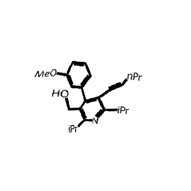 CCCC=Cc1c(C(C)C)nc(C(C)C)c(CO)c1-c1cccc(OC)c1